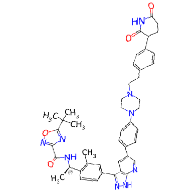 Cc1cc(-c2n[nH]c3ncc(-c4ccc(N5CCN(CCc6ccc(C7CCC(=O)NC7=O)cc6)CC5)cc4)cc23)ccc1[C@@H](C)NC(=O)c1noc(C(C)(C)C)n1